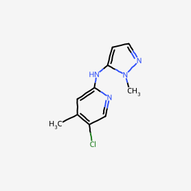 Cc1cc(Nc2ccnn2C)ncc1Cl